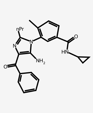 CCCc1nc(C(=O)c2ccccc2)c(N)n1-c1cc(C(=O)NC2CC2)ccc1C